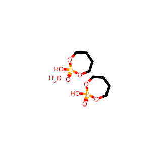 O.O=P1(O)OCCCCO1.O=P1(O)OCCCCO1